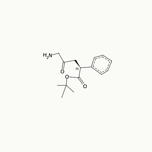 CC(C)(C)OC(=O)[C@@H](CC(=O)CN)c1ccccc1